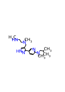 CNCCN(C)Cc1c[nH]nc1-c1ccc(N(C)CC(C)C)nc1